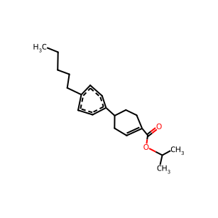 CCCCCc1ccc(C2CC=C(C(=O)OC(C)C)CC2)cc1